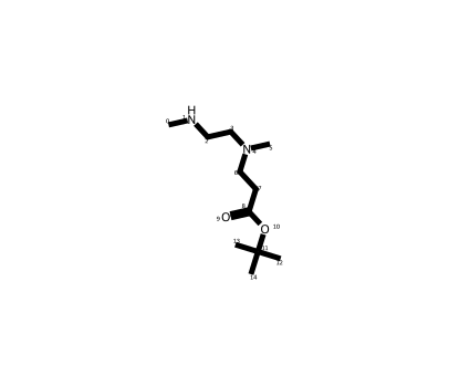 CNCCN(C)CCC(=O)OC(C)(C)C